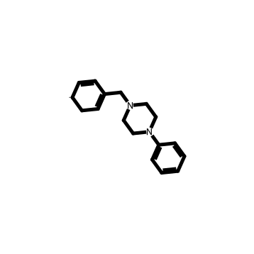 [CH]1C=CC(CN2CCN(c3ccccc3)CC2)=CC1